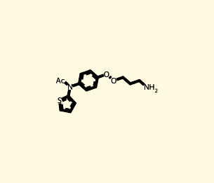 CC(=O)N(c1ccc(OOCCCN)cc1)c1cccs1